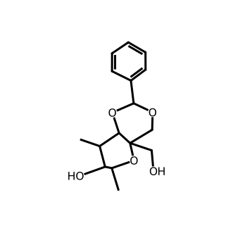 CC1OC2(CO)COC(c3ccccc3)OC2C(C)C1O